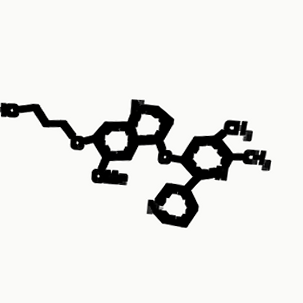 COc1cc2c(Oc3cc(C)c(C)nc3-c3cccnc3)ccnc2cc1OCCCO